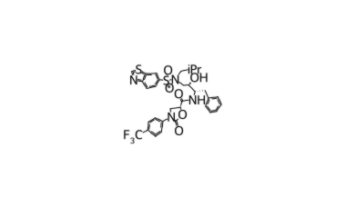 CC(C)CN(C[C@@H](O)[C@H](Cc1ccccc1)NC(=O)[C@@H]1CN(c2ccc(C(F)(F)F)cc2)C(=O)O1)S(=O)(=O)c1ccc2ncsc2c1